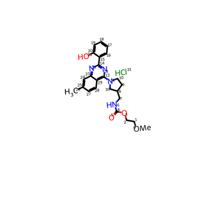 COCCOC(=O)NCC1CCN(c2nc(-c3ccccc3O)nc3cc(C)ccc23)C1.Cl